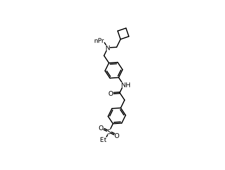 CCCN(Cc1ccc(NC(=O)Cc2ccc(S(=O)(=O)CC)cc2)cc1)CC1CCC1